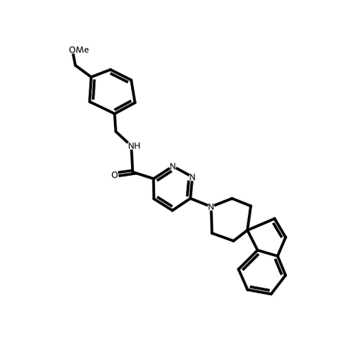 COCc1cccc(CNC(=O)c2ccc(N3CCC4(C=Cc5ccccc54)CC3)nn2)c1